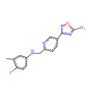 Cc1cc(NCc2ccc(-c3noc(C(F)(F)F)n3)cn2)ccc1F